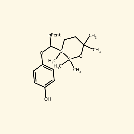 CCCCCC(Oc1ccc(O)cc1)[Si]1(C)CCC(C)(C)O[Si]1(C)C